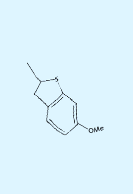 COc1ccc2c(c1)SC(C)C2